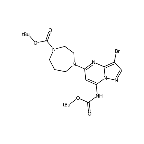 CC(C)(C)OC(=O)Nc1cc(N2CCCN(C(=O)OC(C)(C)C)CC2)nc2c(Br)cnn12